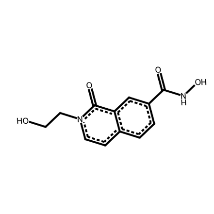 O=C(NO)c1ccc2ccn(CCO)c(=O)c2c1